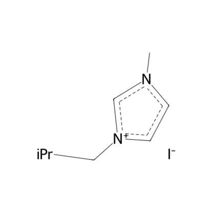 CC(C)C[n+]1ccn(C)c1.[I-]